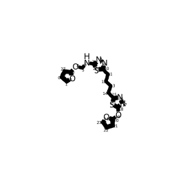 c1coc(OCNc2nnc(CCCCc3nnc(Oc4ccco4)s3)s2)c1